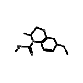 CCC1C=CC2=C(C1)OCC(C)N2C(=O)NC